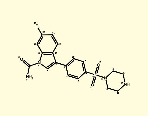 NC(=O)n1cc(-c2ccc(S(=O)(=O)N3CCNCC3)cc2)c2ccc(F)cc21